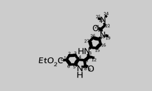 CCOC(=O)c1ccc2c(c1)NC(=O)/C2=C(\C)Nc1ccc(N(C)C(=O)CN(C)C)cc1